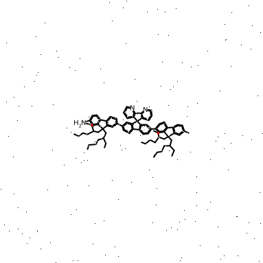 CCCCC(CC)CC1(CC(CC)CCCC)c2cc(C)ccc2-c2ccc(-c3ccc4c(c3)C3(c5cc(-c6ccc7c(c6)C(CC(CC)CCCC)(CC(CC)CCCC)c6cc(N)ccc6-7)ccc5-4)c4cccnc4-c4ncccc43)cc21